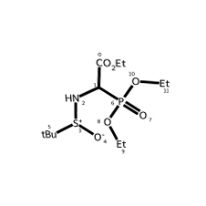 CCOC(=O)C(N[S+]([O-])C(C)(C)C)P(=O)(OCC)OCC